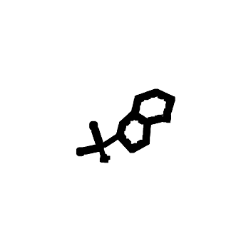 O=S(=O)(Br)c1ccc2ncccc2c1